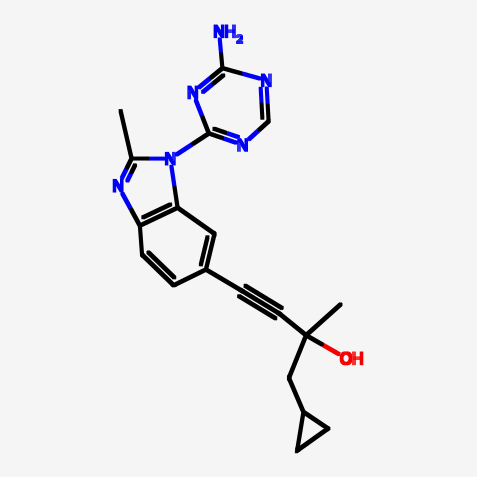 Cc1nc2ccc(C#CC(C)(O)CC3CC3)cc2n1-c1ncnc(N)n1